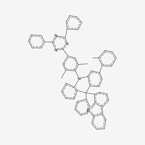 Cc1ccccc1-c1ccc2c(c1)N(c1c(C)cc(-c3nc(-c4ccccc4)nc(-c4ccccc4)n3)cc1C)c1ccccc1C2(c1ccccc1)c1cccc2c1oc1ccccc12